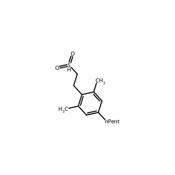 CCCCCc1cc(C)c(CC[SH](=O)=O)c(C)c1